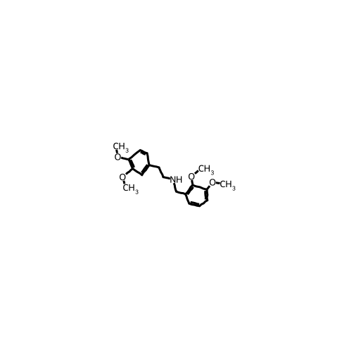 COc1ccc(CCNCc2cccc(OC)c2OC)cc1OC